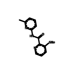 CSc1cccnc1C(=O)Nc1cccc(C)n1